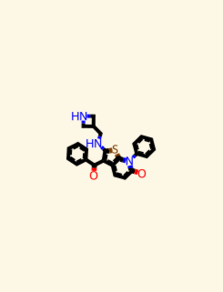 O=C(c1ccccc1)c1c(NCC2CNC2)sc2c1ccc(=O)n2-c1ccccc1